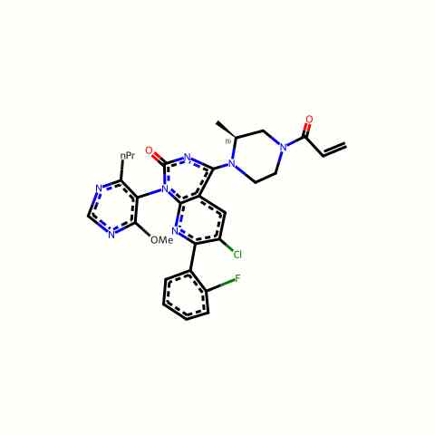 C=CC(=O)N1CCN(c2nc(=O)n(-c3c(CCC)ncnc3OC)c3nc(-c4ccccc4F)c(Cl)cc23)[C@@H](C)C1